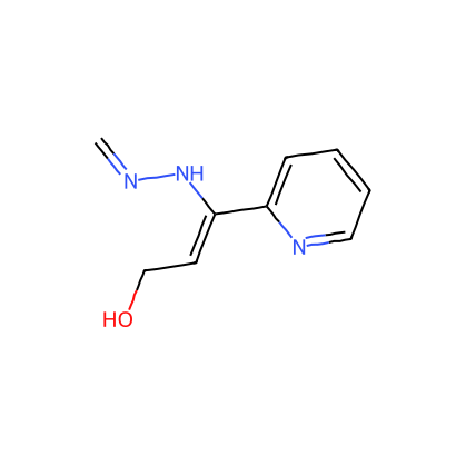 C=NN/C(=C\CO)c1ccccn1